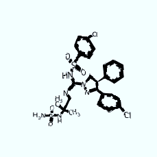 CC(C)(C/N=C(/NS(=O)(=O)c1ccc(Cl)cc1)N1C[C@@H](c2ccccc2)C(c2ccc(Cl)cc2)=N1)NS(N)(=O)=O